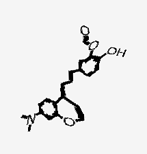 CN(C)c1ccc2c(c1)OC=C/C2=C\C=C\c1ccc(O)c(OC=O)c1